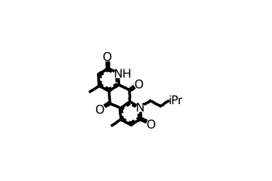 Cc1cc(=O)[nH]c2c1C(=O)c1c(C)cc(=O)n(CCC(C)C)c1C2=O